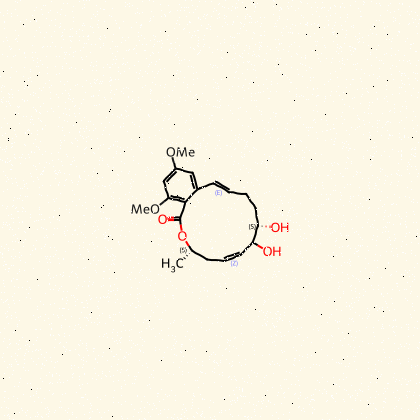 COc1cc2c(c(OC)c1)C(=O)O[C@@H](C)C/C=C\C(O)[C@@H](O)CC/C=C/2